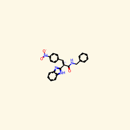 O=C(NCc1ccccc1)/C(=C/c1ccc([N+](=O)[O-])cc1)c1nc2ccccc2[nH]1